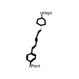 CCCCCCC[C@H]1CC[C@H](C=CC#CC=Cc2ccc(CCCCC)cc2)CC1